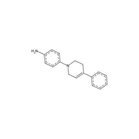 Nc1ccc(N2CC=C(c3ccccc3)CC2)cc1